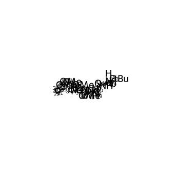 CC[C@H](C)[C@@H]([C@@H](CC(=O)N1CCC[C@H]1[C@H](OC)[C@@H](C)C(=O)N[C@@H](Cc1ccccc1)C(=O)OC)OC)N(C)C(=O)[C@@H](Nc1nc(C)cc(C(=O)NCCNC(=O)OC(C)(C)C)n1)C(C)C